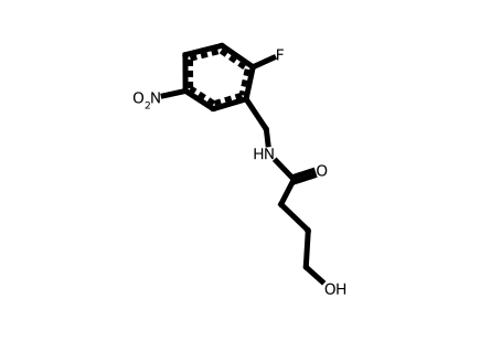 O=C(CCCO)NCc1cc([N+](=O)[O-])ccc1F